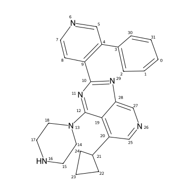 c1ccc(-c2cnccc2-c2nc(N3CCNCC3)c3c(C4CCC4)cncc3n2)cc1